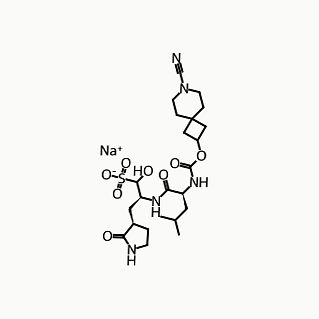 CC(C)C[C@H](NC(=O)OC1CC2(CCN(C#N)CC2)C1)C(=O)N[C@@H](C[C@H]1CCNC1=O)C(O)S(=O)(=O)[O-].[Na+]